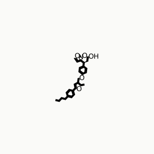 CCCCc1ccc(C2=CC(COc3ccc([C@H](CC(=O)O)c4ccon4)cc3)C(C)O2)cc1